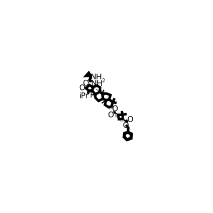 CC(C)C1=C2[C@H]3CCC4[C@@]5(C)CC[C@H](OC(=O)[C@@H]6C[C@H](C(=O)OCc7ccccc7)C6(C)C)C(C)(C)C5CC[C@@]4(C)[C@]3(C)CC[C@@]2(NC(=O)C2(N)CC2)CC1=O